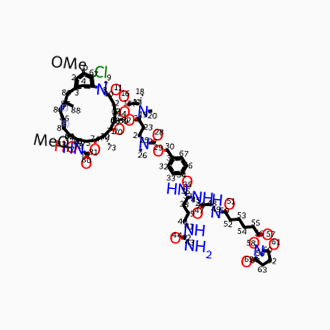 COc1cc2cc(c1Cl)N(C)C(=O)C[C@H](OC(=O)[C@H](C)N(C)C(=O)CCN(C)C(=O)OCc1ccc(ONC(CCCNC(N)=O)NC(=O)CNC(=O)CCCCC(=O)ON3C(=O)CCC3=O)cc1)[C@]1(C)OC1[C@H](C)C1C[C@@](O)(NC(=O)O1)[C@H](OC)/C=C/C=C(\C)C2